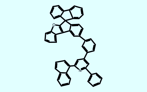 c1ccc(-c2cc(-c3cccc(-c4ccc5c(c4)-c4c(oc6ccccc46)C54c5ccccc5-c5ccccc54)c3)cc(-c3cccc4ccccc34)n2)cc1